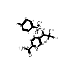 Cc1ccc(S(=O)(=O)OC(c2ccc(C(N)=O)nc2)C(F)(F)F)cc1